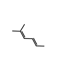 C/C=C/C=C(C)C